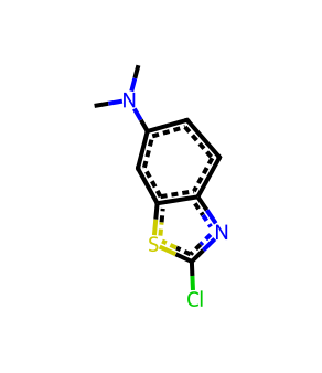 CN(C)c1ccc2nc(Cl)sc2c1